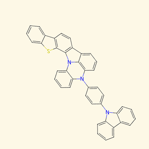 c1ccc2c(c1)N(c1ccc(-n3c4ccccc4c4ccccc43)cc1)c1cccc3c4ccc5c6ccccc6sc5c4n-2c13